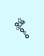 Cn1ncc2c1Nc1ccccc1N(C(=O)c1ccc(OCc3ccccc3)cc1)C2